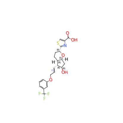 O=C(O)c1csc([C@H]2CC[C@@H]3[C@@H](/C=C/COc4cccc(C(F)(F)F)c4)[C@H](O)C[C@@H]3O2)n1